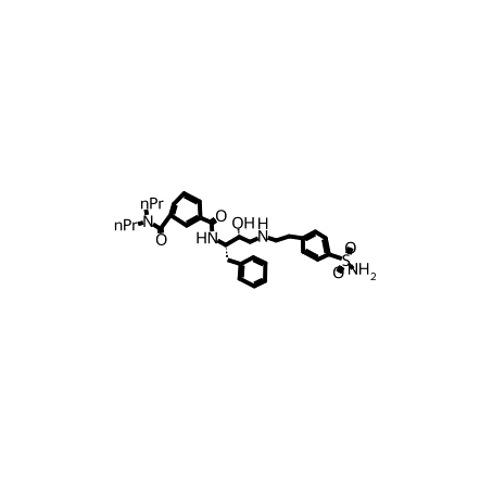 CCCN(CCC)C(=O)c1cccc(C(=O)N[C@@H](Cc2ccccc2)[C@H](O)CNCCc2ccc(S(N)(=O)=O)cc2)c1